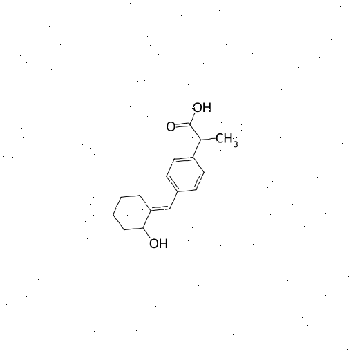 CC(C(=O)O)c1ccc(C=C2CCCCC2O)cc1